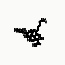 CC(O)C(O)C1CNc2[nH]c(N)nc(=O)c2N1C(=O)C(N)CCCCN.Cl.Cl